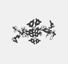 C=C(Cl)C(=O)NCCN(CCc1cncc(C)c1)C(=O)C(CC(F)(F)F)N1C(=O)c2cc(Oc3cc(C)cc(C)c3)c3c4c(Oc5cc(C)cc(C)c5)cc5c6c(cc(Oc7cc(C)cc(C)c7)c(c7c(Oc8cc(C)cc(C)c8)cc(c2c37)C1=O)c64)C(=O)N(C(CC(F)(F)F)C(=O)N(CCNC(=O)C(C)Cl)CCc1cncc(C)c1)C5=O